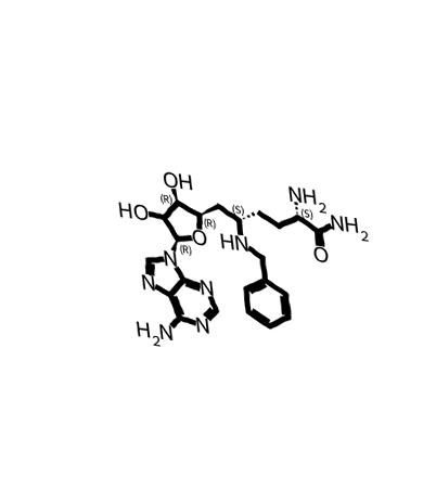 NC(=O)[C@@H](N)CC[C@@H](C[C@H]1O[C@@H](n2cnc3c(N)ncnc32)C(O)[C@H]1O)NCc1ccccc1